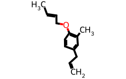 C=CCc1ccc(OCC=CC)c(C)c1